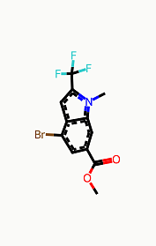 COC(=O)c1cc(Br)c2cc(C(F)(F)F)n(C)c2c1